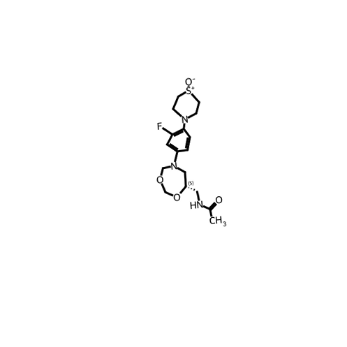 CC(=O)NC[C@H]1CN(c2ccc(N3CC[S+]([O-])CC3)c(F)c2)COCO1